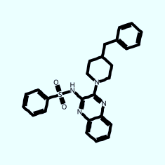 O=S(=O)(Nc1nc2ccccc2nc1N1CCC(Cc2ccccc2)CC1)c1ccccc1